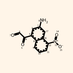 Nc1cc(C(=O)C=O)c2cccc([N+](=O)[O-])c2c1